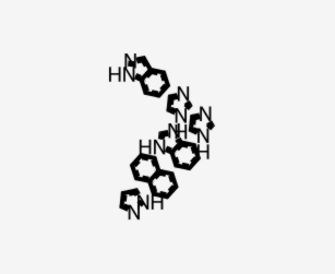 c1c[nH]cn1.c1c[nH]cn1.c1ccc2[nH]cnc2c1.c1ccc2[nH]ncc2c1.c1ccc2ccccc2c1.c1cn[nH]c1